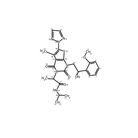 COc1ccccc1[C@@H](O)Cn1c(=O)n(C(C)C(=O)NC(C)C)c(=O)c2c(C)c(-n3nccn3)sc21